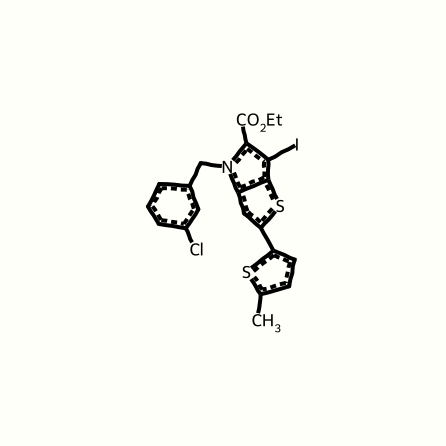 CCOC(=O)c1c(I)c2sc(-c3ccc(C)s3)cc2n1Cc1cccc(Cl)c1